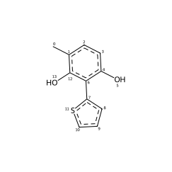 Cc1ccc(O)c(-c2cccs2)c1O